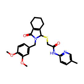 COc1ccc(CN2C(=O)C3=C(CCCC3)C2SCC(=O)Nc2ccc(C)cn2)cc1OC